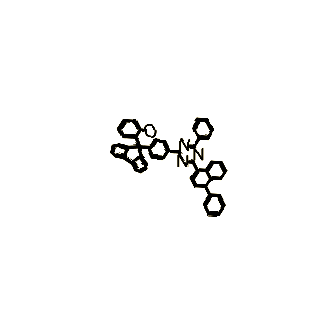 c1ccc(-c2nc(-c3ccc4c(c3)Oc3ccccc3C43c4ccccc4-c4ccccc43)nc(-c3ccc(-c4ccccc4)c4ccccc34)n2)cc1